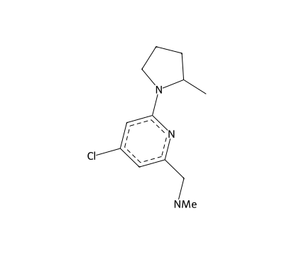 CNCc1cc(Cl)cc(N2CCCC2C)n1